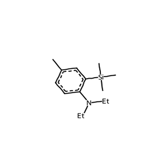 CCN(CC)c1ccc(C)cc1[Si](C)(C)C